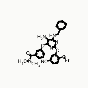 CCOc1ccc(C#N)cc1Oc1nc(NCc2ccccc2)c(N)c(Oc2cccc(C(=O)N(C)C)c2)n1